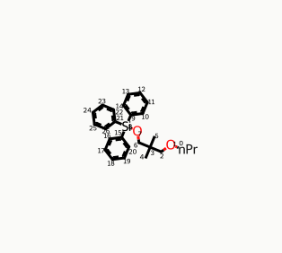 CCCOCC(C)(C)CO[Si](c1ccccc1)(c1ccccc1)c1ccccc1